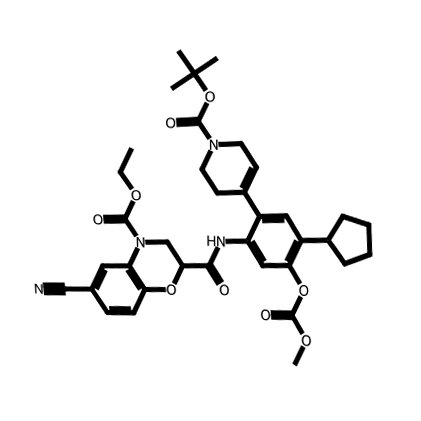 CCOC(=O)N1CC(C(=O)Nc2cc(OC(=O)OC)c(C3CCCC3)cc2C2=CCN(C(=O)OC(C)(C)C)CC2)Oc2ccc(C#N)cc21